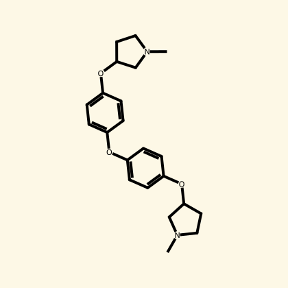 CN1CCC(Oc2ccc(Oc3ccc(OC4CCN(C)C4)cc3)cc2)C1